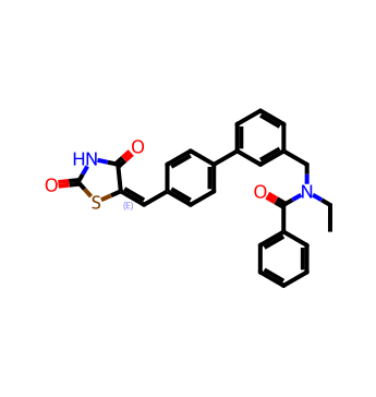 CCN(Cc1cccc(-c2ccc(/C=C3/SC(=O)NC3=O)cc2)c1)C(=O)c1ccccc1